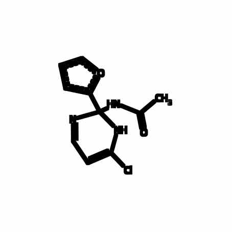 CC(=O)NC1(c2ccco2)N=CC=C(Cl)N1